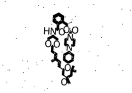 CC(/C=C/[C@@H]1C[C@]2(CO2)CC(C)(C)O1)=C\CC1OCC(NC(=O)c2ccccc2[C@H](C)OC(=O)N2CCN(C3CCCCC3)CC2)CO1